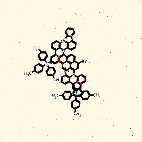 Cc1ccc([Si](c2ccc(C)cc2)(c2ccc(C)cc2)c2cccc(-c3cccc(C#N)c3N(c3cc(C(C)C)c4ccc5c(N(c6c(C#N)cccc6-c6cccc([Si](c7ccc(C)cc7)(c7ccc(C)cc7)c7ccc(C)cc7)c6)c6cccc7c6oc6ccccc67)cc(C(C)C)c6ccc3c4c65)c3cccc4c3oc3ccccc34)c2)cc1